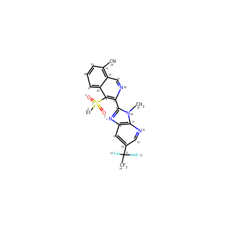 CCS(=O)(=O)c1c(-c2nc3cc(C(F)(F)C(F)(F)F)cnc3n2C)ncc2c(C#N)cccc12